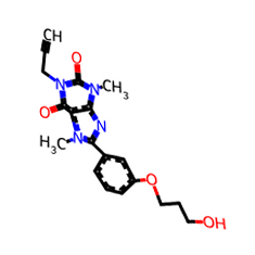 C#CCn1c(=O)c2c(nc(-c3cccc(OCCCO)c3)n2C)n(C)c1=O